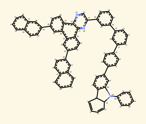 C1=CC2c3ccc(-c4ccc(-c5cccc(-c6cccc(-c7cnc8c9ccc(-c%10ccc%11ccccc%11c%10)cc9c9cc(-c%10ccc%11ccccc%11c%10)ccc9c8n7)c6)c5)cc4)cc3N(c3ccccc3)C2C=C1